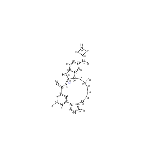 Cc1cc2cc(n1)-c1cnn(C)c1OCCC[C@@H](C)CN1/C(=N/C2=O)Nc2ccc(N(C)C3CNC3)cc21